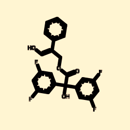 O=C(OCC(=CO)c1ccccc1)C(O)(c1cc(F)cc(F)c1)c1cc(F)cc(F)c1